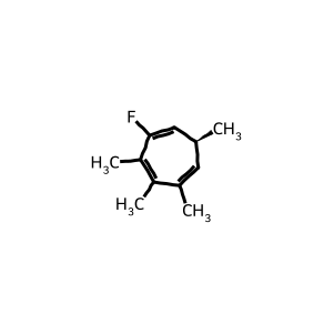 CC1=C[C@H](C)C=C(F)C(C)=C1C